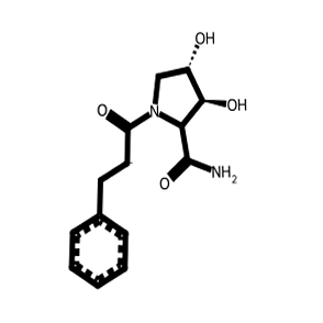 NC(=O)C1[C@H](O)[C@@H](O)CN1C(=O)[CH]Cc1ccccc1